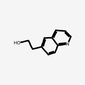 OCCc1ccc2ncccc2c1